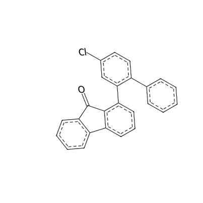 O=C1c2ccccc2-c2cccc(-c3cc(Cl)ccc3-c3ccccc3)c21